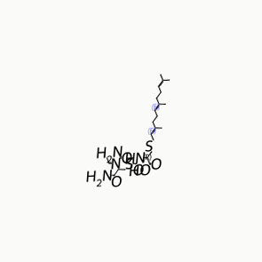 CCN(C(N)=O)C(CSC(=O)N[C@@H](CSC/C=C(\C)CC/C=C(\C)CCC=C(C)C)C(=O)O)C(N)=O